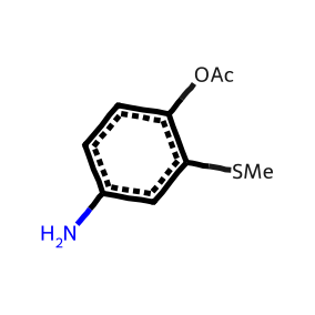 CSc1cc(N)ccc1OC(C)=O